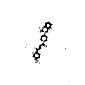 O=C(/C=C/C(=O)N1CCC(N2Cc3ccccc3NC2=O)CC1)c1ccc(C(F)(F)F)cc1